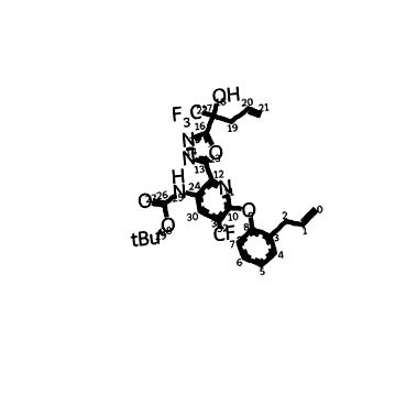 C=CCc1ccccc1Oc1nc(-c2nnc(C(O)(CC=C)C(F)(F)F)o2)c(NC(=O)OC(C)(C)C)cc1C(F)(F)F